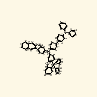 c1ccc(N(c2ccccc2)c2ccc(-c3ccc(N(c4ccc5c(c4)Oc4ccccc4C54c5ccccc5-c5ccccc54)c4ccc5c(c4)sc4cc6ccccc6cc45)cc3)cc2)cc1